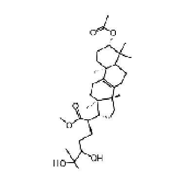 COC(=O)[C@H](CCC(O)C(C)(C)O)[C@H]1CC[C@@]2(C)C3=C(CC[C@]12C)[C@@]1(C)CC[C@H](OC(C)=O)C(C)(C)C1CC3